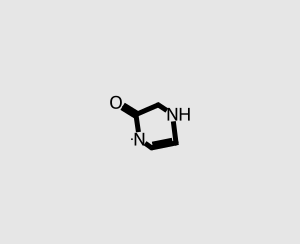 O=C1CNC=C[N]1